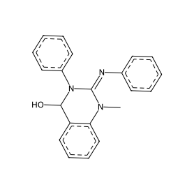 CN1C(=Nc2ccccc2)N(c2ccccc2)C(O)c2ccccc21